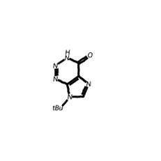 CC(C)(C)n1cnc2c(=O)[nH]nnc21